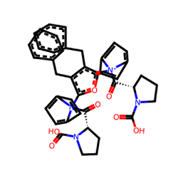 O=C(O)N1CCC[C@H]1C(=O)[N+]1(c2oc([N+]3(C(=O)[C@@H]4CCCN4C(=O)O)C4=CC=C3C=C4)c(Cc3ccccc3)c2Cc2ccccc2)C2=CC=C1C=C2